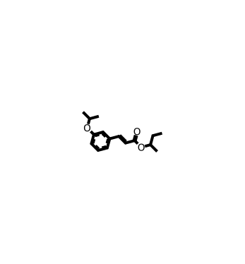 CCC(C)OC(=O)/C=C/c1cccc(OC(C)C)c1